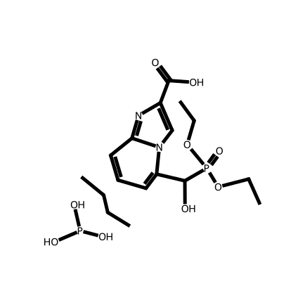 CCCC.CCOP(=O)(OCC)C(O)c1cccc2nc(C(=O)O)cn12.OP(O)O